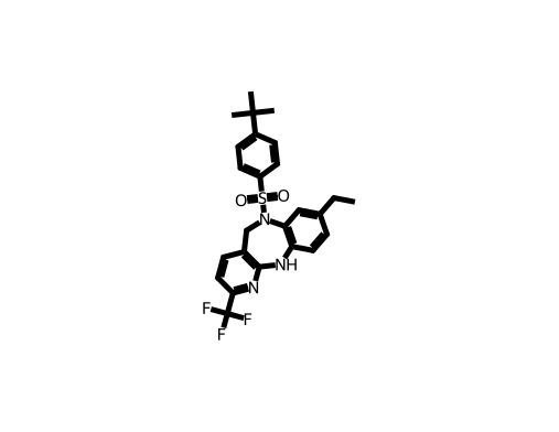 CCc1ccc2c(c1)N(S(=O)(=O)c1ccc(C(C)(C)C)cc1)Cc1ccc(C(F)(F)F)nc1N2